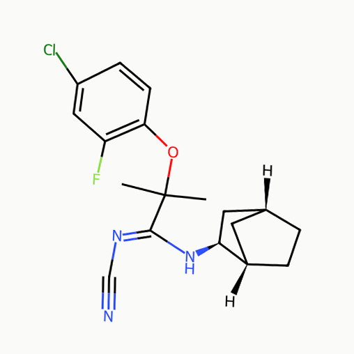 CC(C)(Oc1ccc(Cl)cc1F)/C(=N/C#N)N[C@H]1C[C@@H]2CC[C@H]1C2